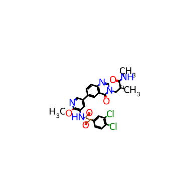 CNC(=O)[C@@H](C)Cn1cnc2ccc(-c3cnc(OC)c(NS(=O)(=O)c4ccc(Cl)c(Cl)c4)c3)cc2c1=O